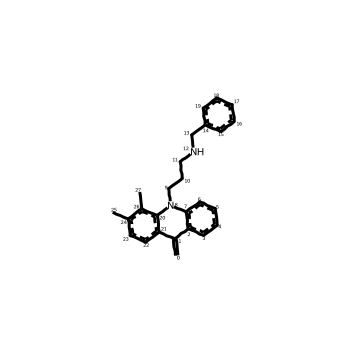 C=C1c2ccccc2N(CCCNCc2ccccc2)c2c1ccc(C)c2C